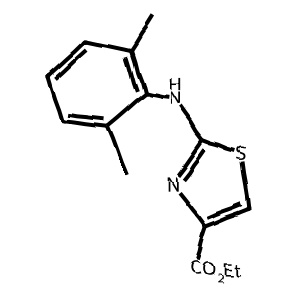 CCOC(=O)c1csc(Nc2c(C)cccc2C)n1